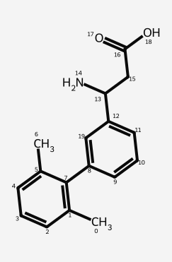 Cc1cccc(C)c1-c1cccc(C(N)CC(=O)O)c1